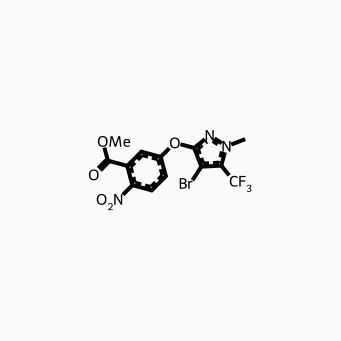 COC(=O)c1cc(Oc2nn(C)c(C(F)(F)F)c2Br)ccc1[N+](=O)[O-]